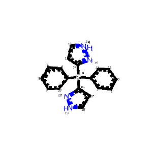 c1ccc([Si](c2ccccc2)(c2cc[nH]n2)c2cc[nH]n2)cc1